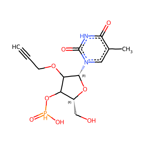 C#CCOC1C(O[PH](=O)O)[C@@H](CO)O[C@H]1n1cc(C)c(=O)[nH]c1=O